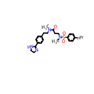 CCCc1ccc(S(=O)(=O)N(C)CCC(=O)N(C)CCc2ccc(C3=NCCN3)cc2)cc1